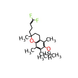 Cc1c(C)c2c(c(C)c1O[SiH](C)C)CCC(C)(CCC=C(F)F)O2